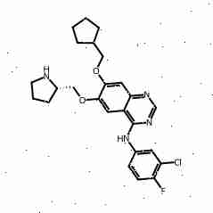 Fc1ccc(Nc2ncnc3cc(OCC4CCCC4)c(OC[C@@H]4CCCN4)cc23)cc1Cl